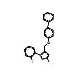 FC(F)(F)c1cc(CNc2ccc(-c3ccccc3)cc2)n(-c2ccccc2Cl)n1